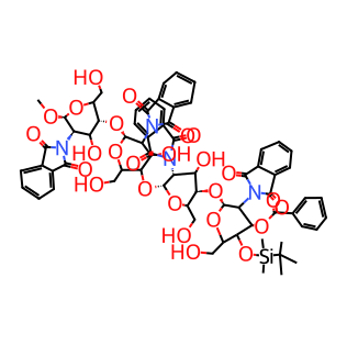 CO[C@H]1OC(CO)[C@H](O[C@@H]2OC(CO)C(O[C@H]3OC(CO)[C@H](O[C@@H]4OC(CO)C(O[Si](C)(C)C(C)(C)C)[C@H](OC(=O)c5ccccc5)C4N4C(=O)c5ccccc5C4=O)C(O)[C@H]3N3C(=O)c4ccccc4C3=O)[C@H](O)C2N2C(=O)c3ccccc3C2=O)C(O)[C@H]1N1C(=O)c2ccccc2C1=O